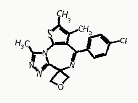 Cc1sc2c(c1C)C(c1ccc(Cl)cc1)=NC1(COC1)c1nnc(C)n1-2